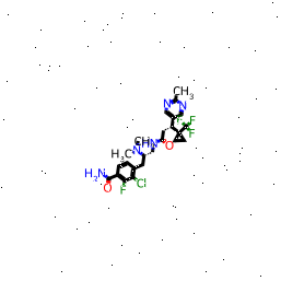 Cc1ncc([C@@H](CC(=O)NC[C@H](Cc2ccc(C(N)=O)c(F)c2Cl)N(C)C)C2(C(F)(F)F)CC2)cn1